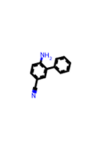 N#Cc1ccc(N)c(-c2ccccc2)c1